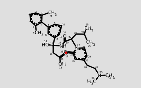 Cc1cccc(C)c1-c1cccc([C@@](O)(CC(=O)O)NC(=O)C(CC(C)C)n2ccc(CCN(C)C)cc2=O)c1